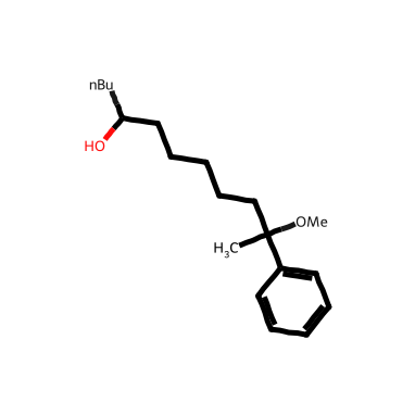 CCCCC(O)CCCCCC(C)(OC)c1ccccc1